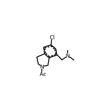 CC(=O)N1CCc2cc(Cl)cc(CN(C)C)c2C1